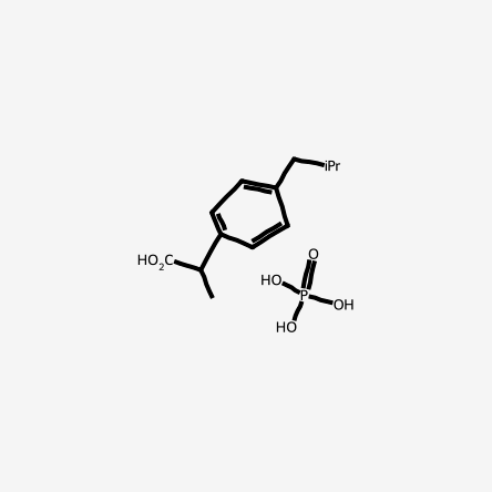 CC(C)Cc1ccc(C(C)C(=O)O)cc1.O=P(O)(O)O